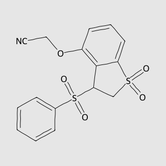 N#CCOc1cccc2c1C(S(=O)(=O)c1ccccc1)CS2(=O)=O